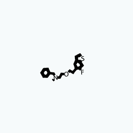 CN(CCOCCc1cc2ccsc2cc1F)Cc1ccccc1